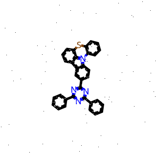 c1ccc(-c2nc(-c3ccccc3)nc(-c3ccc4c(c3)c3cccc5c3n4-c3ccccc3S5)n2)cc1